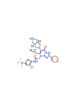 CCc1c(N2C[C@H]3CNC[C@H]3C2)c(=O)n2nc(C3=CCOCC3)nc2n1CC(=O)Nc1ccc(C(F)(F)F)cc1Cl